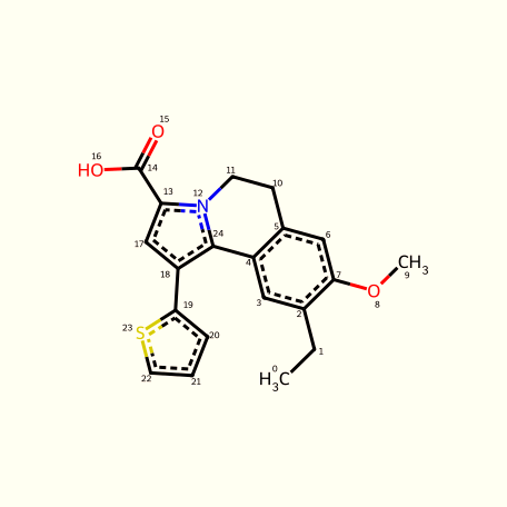 CCc1cc2c(cc1OC)CCn1c(C(=O)O)cc(-c3cccs3)c1-2